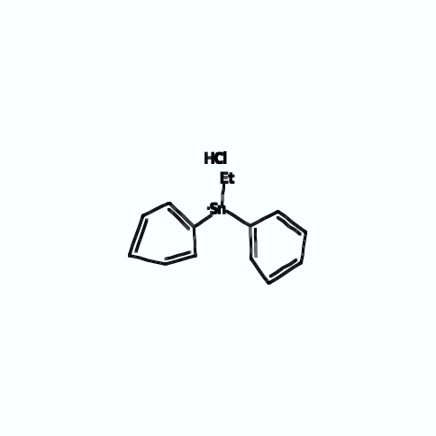 C[CH2][Sn]([c]1ccccc1)[c]1ccccc1.Cl